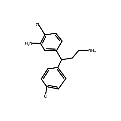 NCCC(c1ccc(Cl)cc1)c1ccc(Cl)c(N)c1